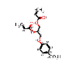 C=CC(=O)OCC(COc1ccc(C(=O)O)cc1)OC(=O)C=C